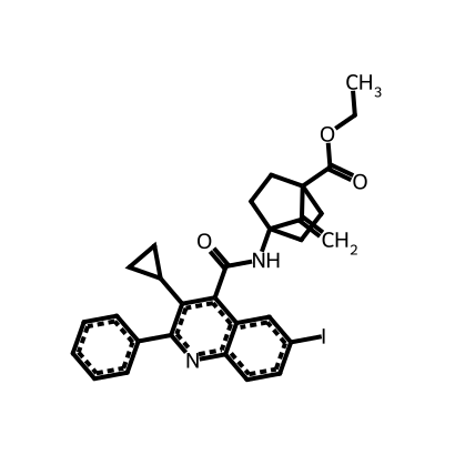 C=C1C2(NC(=O)c3c(C4CC4)c(-c4ccccc4)nc4ccc(I)cc34)CCC1(C(=O)OCC)CC2